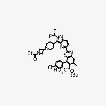 CCC(=O)N1CC(N2CCC(c3c4nc(-c5nc6cc(C)c([C@H](OC(C)(C)C)C(=O)O)c(-c7ccc(Cl)cc7)c6s5)ccc4nn3C(F)F)CC2)C1